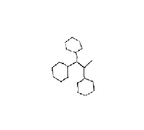 CC(C1CCCCC1)C(C1CCCCC1)C1CCCCC1